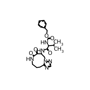 CC(C)C(NC(=O)OCc1ccccc1)C(=O)NC1Cn2ncnc2CCCNC(=O)C1=O